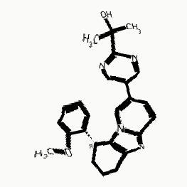 COc1ccccc1[C@H]1CCCc2nc3ccc(-c4cnc(C(C)(C)O)nc4)cn3c21